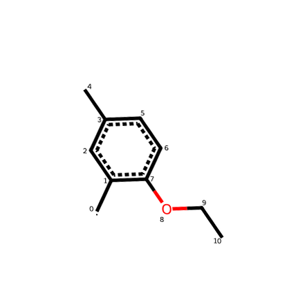 [CH2]c1cc(C)ccc1OCC